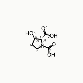 O=C(O)[C@H]1[C@H](O)CCN1C(=O)O